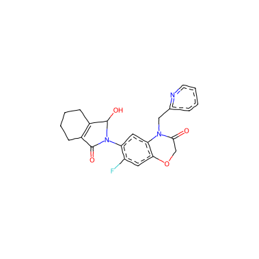 O=C1COc2cc(F)c(N3C(=O)C4=C(CCCC4)C3O)cc2N1Cc1ccccn1